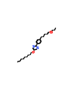 C=CCCCCCCCOc1cnc(-c2ccc(CCCCCOCCC)cc2)nc1